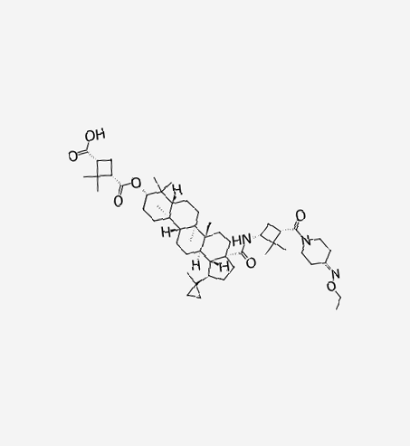 CCON=C1CCN(C(=O)[C@H]2C[C@@H](NC(=O)[C@]34CC[C@@H](C5(C)CC5)[C@@H]3[C@H]3CC[C@@H]5[C@@]6(C)CC[C@H](OC(=O)[C@H]7C[C@@H](C(=O)O)C7(C)C)C(C)(C)[C@@H]6CC[C@@]5(C)[C@]3(C)CC4)C2(C)C)CC1